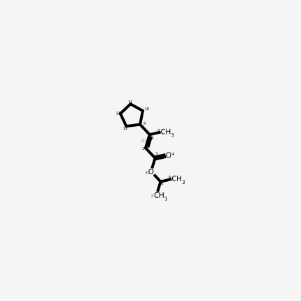 C/C(=C\C(=O)OC(C)C)C1CCCC1